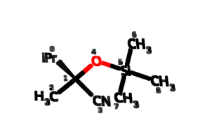 CC(C)[C@](C)(C#N)O[Si](C)(C)C